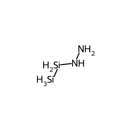 NN[SiH2][SiH3]